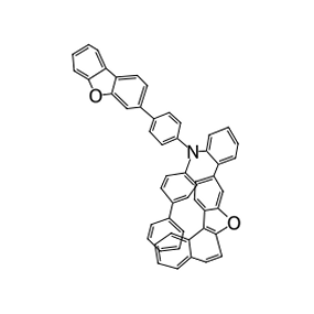 c1ccc(-c2ccc(N(c3ccc(-c4ccc5c(c4)oc4ccccc45)cc3)c3ccccc3-c3ccc4c(c3)oc3ccc5ccccc5c34)cc2)cc1